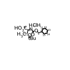 C[C@@H](OC(C)(C)C)[C@H](NC(=O)OCc1ccccc1)C(=O)O.Cl